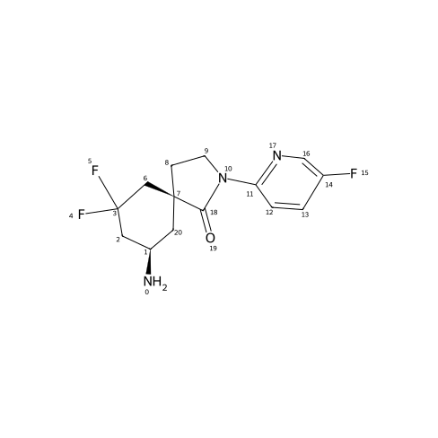 N[C@H]1CC(F)(F)C[C@]2(CCN(c3ccc(F)cn3)C2=O)C1